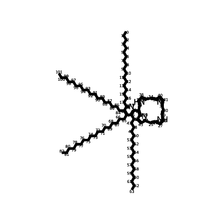 CCCCCCCCCCCCCCCCCCc1nc(-c2c3nc(cc4ccc(cc5nc(cc6ccc2[nH]6)C=C5)[nH]4)C=C3)c(CCCCCCCCCCCCCCCCCC)c(CCCCCCCCCCCCCCCCCC)c1CCCCCCCCCCCCCCCCCC